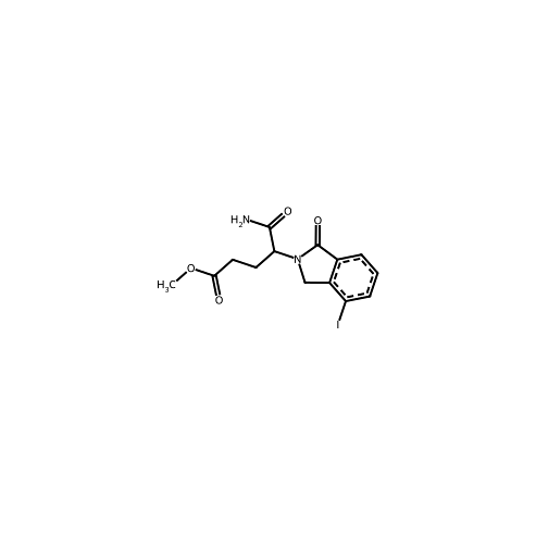 COC(=O)CCC(C(N)=O)N1Cc2c(I)cccc2C1=O